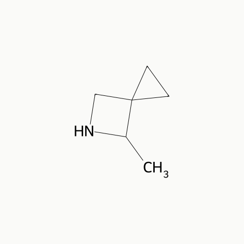 CC1NCC12CC2